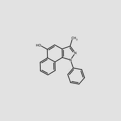 Cc1nn(-c2ccccc2)c2c1cc(O)c1ccccc12